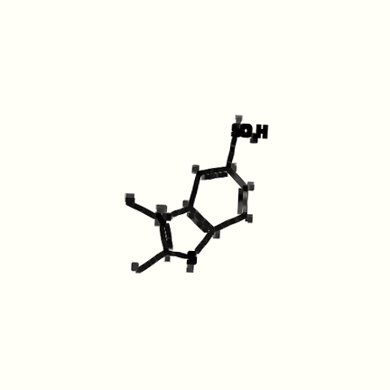 Cc1sc2ccc(S(=O)(=O)O)cc2[n+]1C